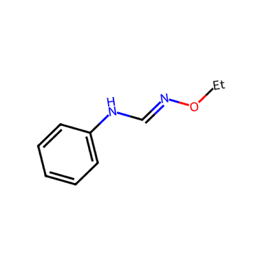 CCON=CNc1ccccc1